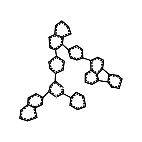 c1ccc(-c2nc(-c3ccc(-c4ccc5ccccc5c4-c4ccc(-c5ccc6c7c(cccc57)-c5ccccc5-6)cc4)cc3)cc(-c3ccc4ccccc4c3)n2)cc1